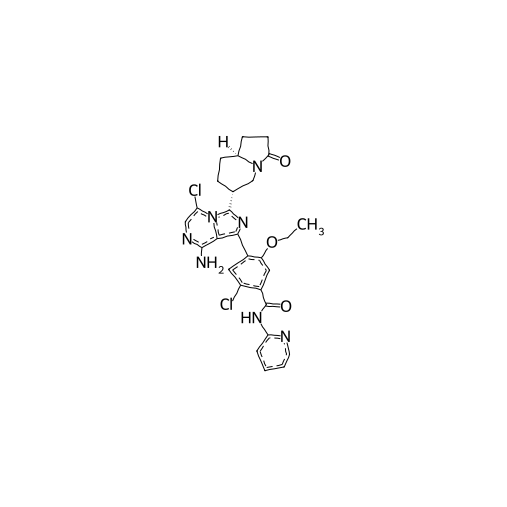 CCOc1cc(C(=O)Nc2ccccn2)c(Cl)cc1-c1nc([C@@H]2CC[C@H]3CCC(=O)N3C2)n2c(Cl)cnc(N)c12